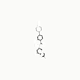 Cc1cn2cc(NC(=O)c3ccc(C4CCNCC4)cc3F)cc(F)c2n1